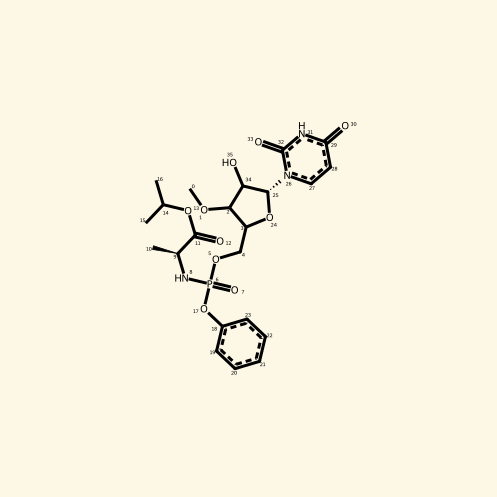 COC1C(COP(=O)(N[C@@H](C)C(=O)OC(C)C)Oc2ccccc2)O[C@@H](n2ccc(=O)[nH]c2=O)C1O